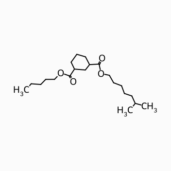 CCCCCOC(=O)C1CCCC(C(=O)OCCCCCC(C)C)C1